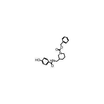 O=C(NCC1CCCN(C(=O)OCc2ccccc2)C1)c1ccc(O)cc1